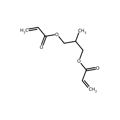 C=CC(=O)OC[C](C)COC(=O)C=C